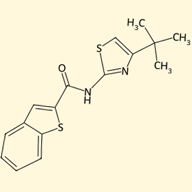 CC(C)(C)c1csc(NC(=O)c2cc3ccccc3s2)n1